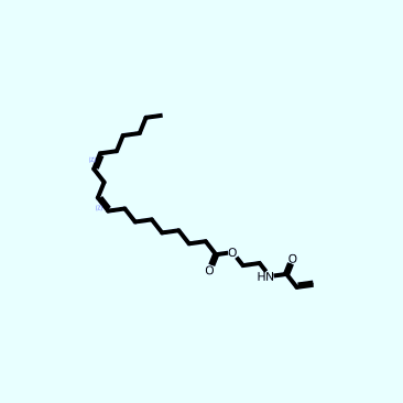 C=CC(=O)NCCOC(=O)CCCCCCC/C=C\C/C=C\CCCCC